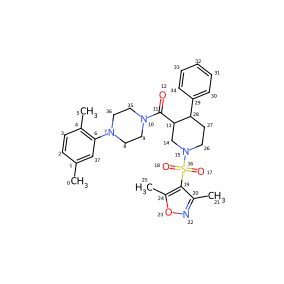 Cc1ccc(C)c(N2CCN(C(=O)C3CN(S(=O)(=O)c4c(C)noc4C)CCC3c3ccccc3)CC2)c1